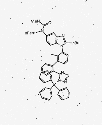 CCCCCN(C(=O)NC)c1ccc2c(c1)nc(CCCC)n2-c1cccc(-c2ccccc2-c2nnnn2C(c2ccccc2)(c2ccccc2)c2ccccc2)c1C